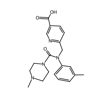 Cc1cccc(N(Cc2ccc(C(=O)O)cn2)C(=O)N2CCN(C)CC2)c1